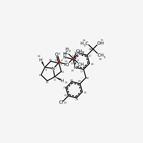 CC(C)(C)OC(=O)N1[C@@H]2CC[C@H]1C[C@@H](Nc1nc(Cc3ccc(Cl)cc3)cc(C(C)(C)O)n1)C2